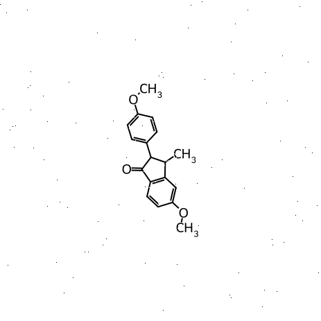 COc1ccc(C2C(=O)c3ccc(OC)cc3C2C)cc1